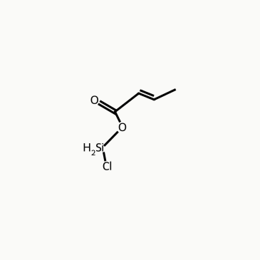 CC=CC(=O)O[SiH2]Cl